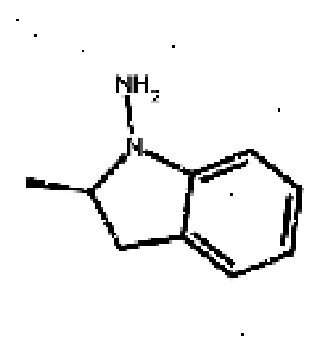 C[C@@H]1Cc2ccccc2N1N